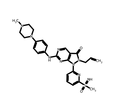 C=CCn1c(=O)c2cnc(Nc3ccc(N4CCN(C)CC4)cc3)nc2n1-c1cccc(S(C)(=N)=O)n1